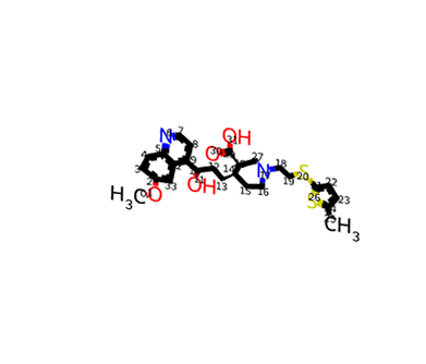 COc1ccc2nccc(C(O)CC[C@@H]3CCN(CCSc4ccc(C)s4)C[C@@H]3C(=O)O)c2c1